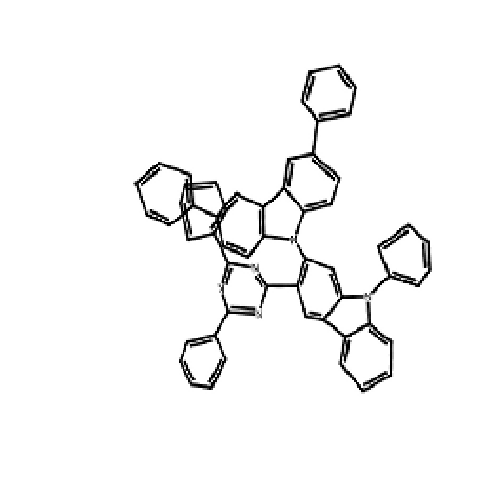 c1ccc(-c2ccc3c(c2)c2cc(-c4ccccc4)ccc2n3-c2cc3c(cc2-c2nc(-c4ccccc4)nc(-c4ccccc4)n2)c2ccccc2n3-c2ccccc2)cc1